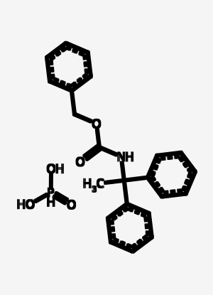 CC(NC(=O)OCc1ccccc1)(c1ccccc1)c1ccccc1.O=[PH](O)O